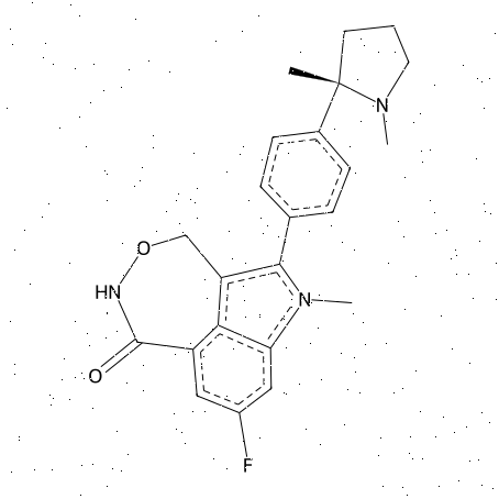 CN1CCC[C@@]1(C)c1ccc(-c2c3c4c(cc(F)cc4n2C)C(=O)NOC3)cc1